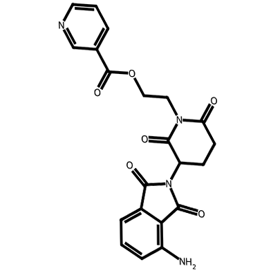 Nc1cccc2c1C(=O)N(C1CCC(=O)N(CCOC(=O)c3cccnc3)C1=O)C2=O